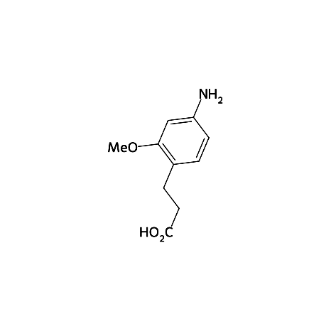 COc1cc(N)ccc1CCC(=O)O